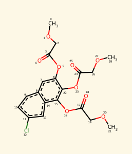 COCC(=O)Oc1cc2ccc(Cl)cc2c(OC(=O)COC)c1OC(=O)COC